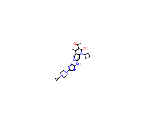 CC(=O)C1=C(C)c2cnc(Nc3cnc(N4CCN(C5CC5)CC4)cn3)cc2N(C2CCCC2)C1O